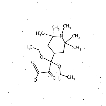 C=C(C(=O)O)C(OCC)(OCC)C1CC(C)(C)N(C)C(C)(C)C1